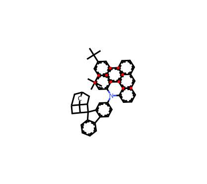 CC(C)(C)c1cc(-c2cccc3cccc(-c4ccccc4N(c4ccc5c(c4)C4(c6ccccc6-5)C5CC6CC7CC4C75C6)c4ccccc4-c4ccccc4)c23)cc(C(C)(C)C)c1